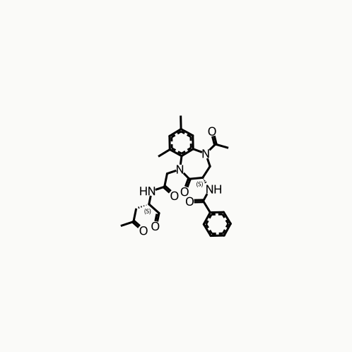 CC(=O)C[C@@H](C=O)NC(=O)CN1C(=O)[C@@H](NC(=O)c2ccccc2)CN(C(C)=O)c2cc(C)cc(C)c21